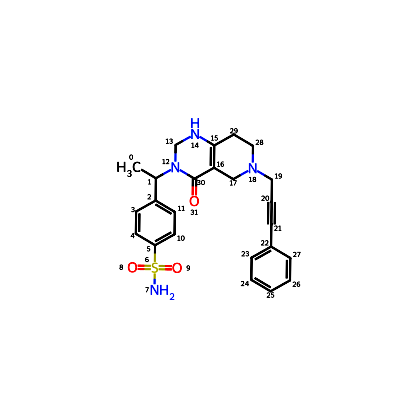 CC(c1ccc(S(N)(=O)=O)cc1)N1CNC2=C(CN(CC#Cc3ccccc3)CC2)C1=O